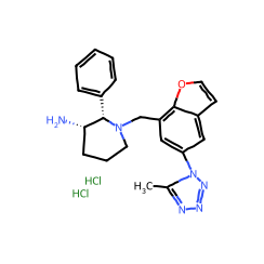 Cc1nnnn1-c1cc(CN2CCC[C@H](N)[C@@H]2c2ccccc2)c2occc2c1.Cl.Cl